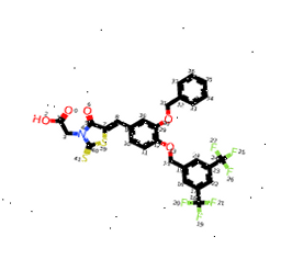 O=C(O)CN1C(=O)/C(=C/c2ccc(OCc3cc(C(F)(F)F)cc(C(F)(F)F)c3)c(OCc3ccccc3)c2)SC1=S